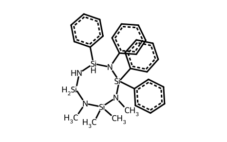 CN1[SiH2]N[SiH](c2ccccc2)N(c2ccccc2)[Si](c2ccccc2)(c2ccccc2)N(C)[Si]1(C)C